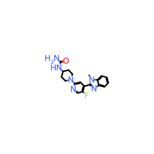 Cn1c(-c2cc(N3CCC(NC(N)=O)CC3)ncc2F)nc2ccccc21